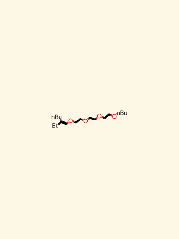 CCCCOCCOCCOCCOC=C(CC)CCCC